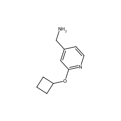 NCc1ccnc(OC2CCC2)c1